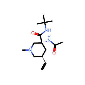 C=C[C@@H]1CN(C)C[C@@](NC(C)=O)(C(=O)NC(C)(C)C)C1